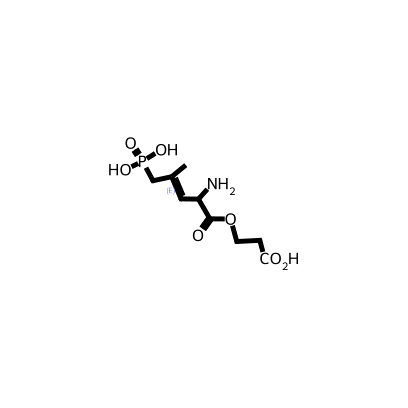 C/C(=C\C(N)C(=O)OCCC(=O)O)CP(=O)(O)O